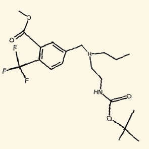 CCCN(CCNC(=O)OC(C)(C)C)Cc1ccc(C(F)(F)F)c(C(=O)OC)c1